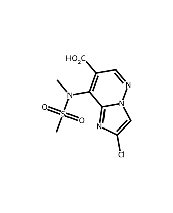 CN(c1c(C(=O)O)cnn2cc(Cl)nc12)S(C)(=O)=O